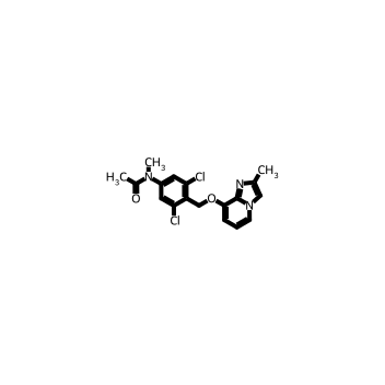 CC(=O)N(C)c1cc(Cl)c(COc2cccn3cc(C)nc23)c(Cl)c1